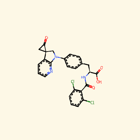 O=C(N[C@@H](Cc1ccc(N2CC3(CC3=O)c3cccnc32)cc1)C(=O)O)c1c(Cl)cccc1Cl